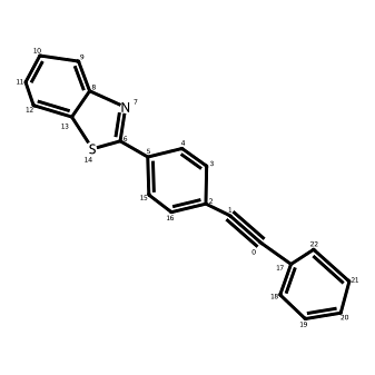 C(#Cc1ccc(-c2nc3ccccc3s2)cc1)c1ccccc1